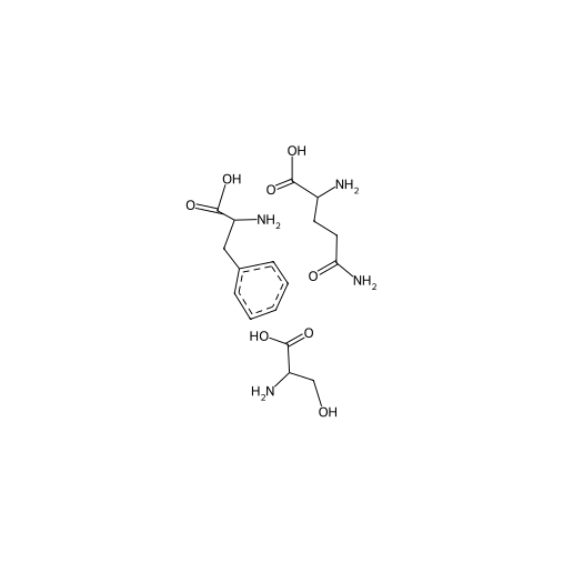 NC(=O)CCC(N)C(=O)O.NC(CO)C(=O)O.NC(Cc1ccccc1)C(=O)O